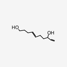 C=CC(O)CCC=CCCCO